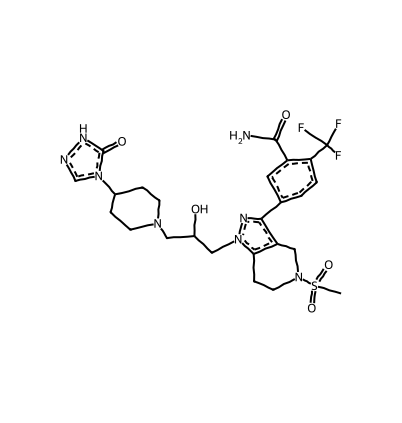 CS(=O)(=O)N1CCc2c(c(-c3ccc(C(F)(F)F)c(C(N)=O)c3)nn2CC(O)CN2CCC(n3cn[nH]c3=O)CC2)C1